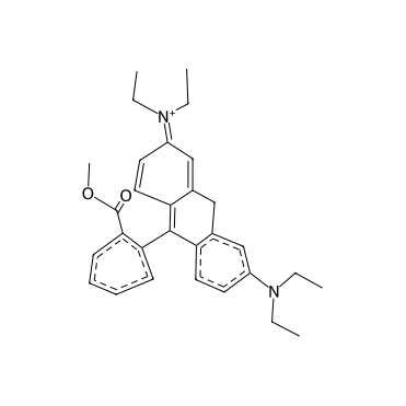 CCN(CC)c1ccc2c(c1)CC1=CC(=[N+](CC)CC)C=CC1=C2c1ccccc1C(=O)OC